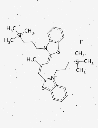 CC(=Cc1sc2ccccc2[n+]1CCC[Si](C)(C)C)C=C1Sc2ccccc2N1CCC[Si](C)(C)C.[I-]